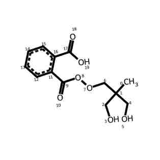 CC(CO)(CO)COOC(=O)c1ccccc1C(=O)O